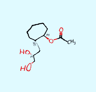 CC(=O)O[C@@H]1CCCCC[C@H]1C[C@@H](O)CO